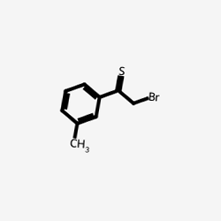 Cc1cccc(C(=S)CBr)c1